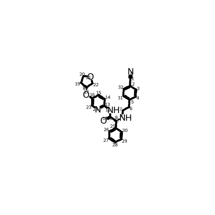 N#Cc1ccc(CCN[C@H](C(=O)Nc2ccc(O[C@@H]3CCOC3)cn2)c2ccccc2)cc1